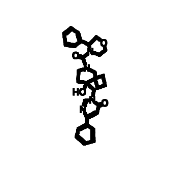 O=C(N1CCC(O)(Cn2cnc(-c3ccccc3)cc2=O)C2(CCC2)C1)N1CCOCC1c1ccccc1